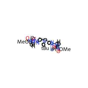 COC(=O)NC(C(=O)N1[C@H](c2nc3cc([C@H]4CC[C@H](c5ccc6[nH]c(C7C[C@@H]8CCC[C@@H]8N7C(=O)[C@@H](NC(=O)OC)C(C)C)nc6c5)N4c4ccc(C(C)(C)C)cc4)ccc3[nH]2)C[C@@H]2CCC[C@@H]21)C(C)C